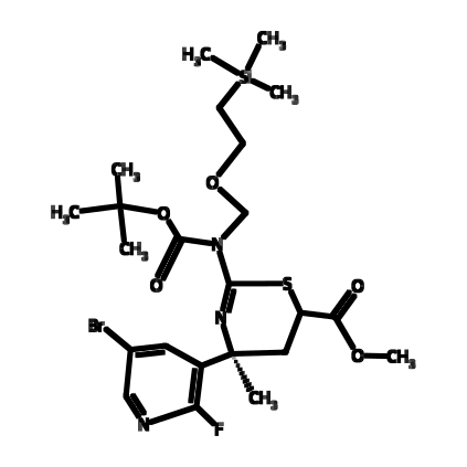 COC(=O)C1C[C@@](C)(c2cc(Br)cnc2F)N=C(N(COCC[Si](C)(C)C)C(=O)OC(C)(C)C)S1